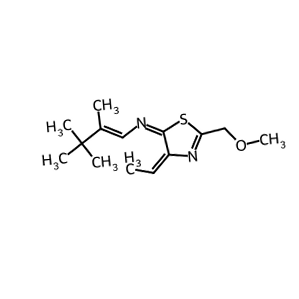 C/C=C1/N=C(COC)S/C1=N/C=C(\C)C(C)(C)C